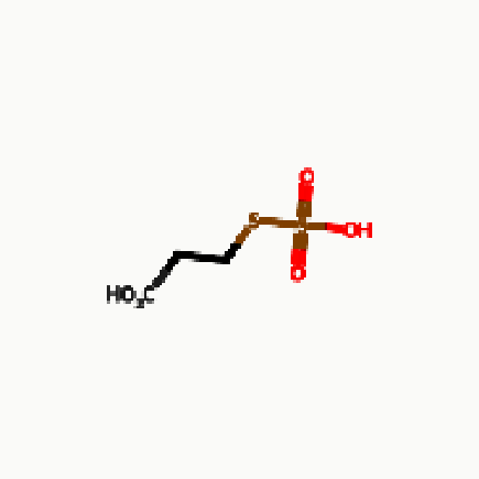 O=C(O)CCSS(=O)(=O)O